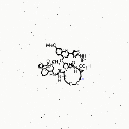 COc1ccc2c(O[C@@H]3C[C@H]4C(=O)N[C@]5(C(=O)O)CC5/C=C\CCCCC[C@H](NC(=O)NC(CN(C)S(=O)(=O)c5cccs5)C5CCCCC5)C(=O)N4C3)cc(-c3csc(NC(C)C)n3)nc2c1